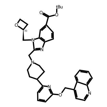 CC(C)(C)OC(=O)c1ccc2nc(CN3CCC(c4cccc(OCc5ccnc6ccccc56)n4)CC3)n(C[C@@H]3CCO3)c2c1